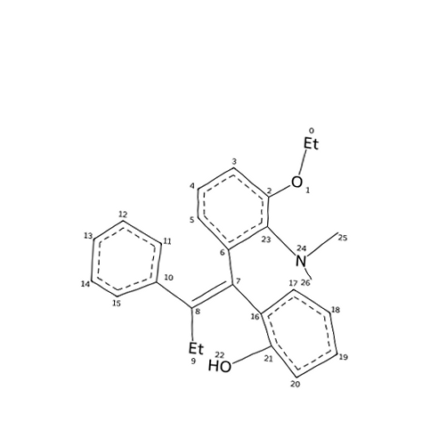 CCOc1cccc(C(=C(CC)c2ccccc2)c2ccccc2O)c1N(C)C